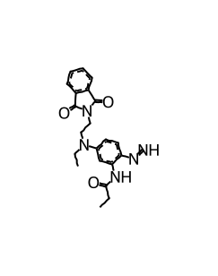 CCC(=O)Nc1cc(N(CC)CCN2C(=O)c3ccccc3C2=O)ccc1N=N